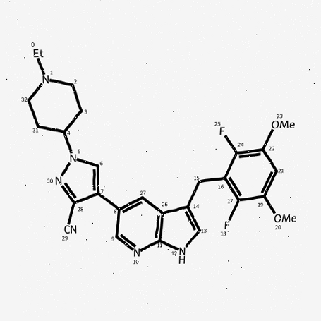 CCN1CCC(n2cc(-c3cnc4[nH]cc(Cc5c(F)c(OC)cc(OC)c5F)c4c3)c(C#N)n2)CC1